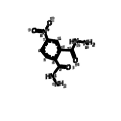 NNC(=O)c1ccc([N+](=O)[O-])cc1C(=O)NN